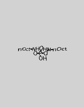 CCCCCCCCNOP(=O)(O)ONCCCCCCCC